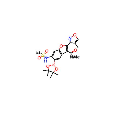 CCS(=O)(=O)Nc1cc2oc(-c3nocc3C)c(C(=O)NC)c2cc1B1OC(C)(C)C(C)(C)O1